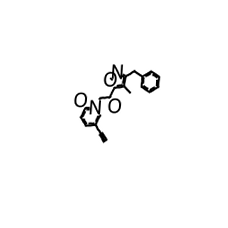 C#Cc1ccc(=O)n(CC(=O)c2onc(Cc3ccccc3)c2C)c1